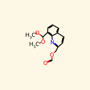 COC(OC)c1cccc2ccc(COC=O)nc12